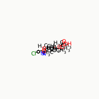 CC[C@H](CC[C@@]1(C)[C@H](C)CC[C@]2(C)[C@@H]1CC[C@@H]1C3=C(C(C)C)C(=O)C[C@]3(Cc3nnc(Cc4ccc(Cl)cc4)o3)CC[C@]12C)OC(=O)CC(C)(C)C(=O)O